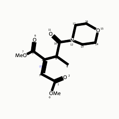 COC(=O)/C=C(/C(=O)OC)C(C)C(=O)N1CCOCC1